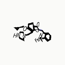 O=C1/C(=C/c2n[nH]c3ccccc23)Oc2c1ccc(OCC1CC1)c2CN1CCNCC1